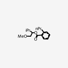 CCCc1ccccc1C(=O)OC(COC)C(C)C